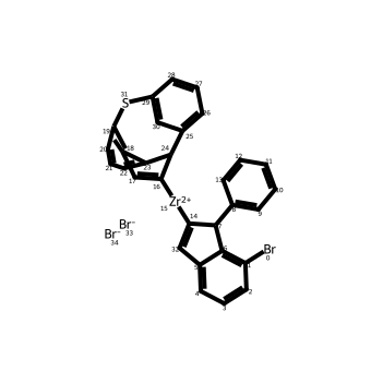 Brc1cccc2c1C(c1ccccc1)[C]([Zr+2][C]1=Cc3c4cccc3C1c1cccc(c1)S4)=C2.[Br-].[Br-]